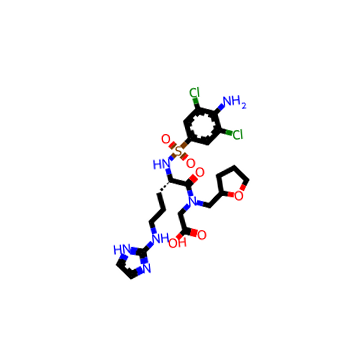 Nc1c(Cl)cc(S(=O)(=O)N[C@@H](CCCNc2ncc[nH]2)C(=O)N(CC(=O)O)CC2CCCO2)cc1Cl